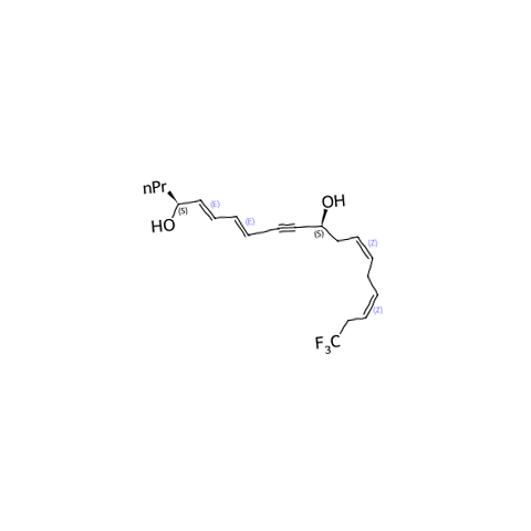 CCC[C@H](O)/C=C/C=C/C#C[C@@H](O)C/C=C\C/C=C\CC(F)(F)F